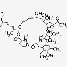 CCc1c(C[C@@H]2NC(=O)[C@H](C(C)C)NC(=O)[C@H](CCC(C)=O)[C@H](O)[C@@H](C)[C@@H](O)/C=C/C=C/C[C@@H](/C(C)=C/C=C/C(=O)N3CCCCO3)OC(=O)C3CCCN(N3)C2=O)ccc(C)c1O